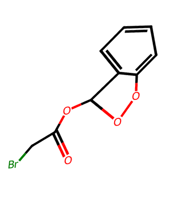 O=C(CBr)OC1OOc2ccccc21